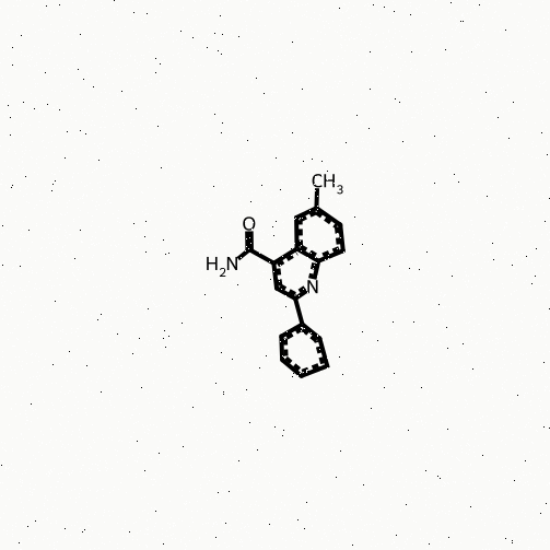 Cc1ccc2nc(-c3ccccc3)cc(C(N)=O)c2c1